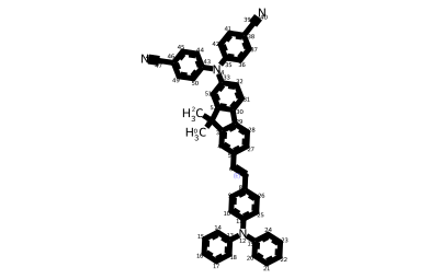 CC1(C)c2cc(/C=C/c3ccc(N(c4ccccc4)c4ccccc4)cc3)ccc2-c2ccc(N(c3ccc(C#N)cc3)c3ccc(C#N)cc3)cc21